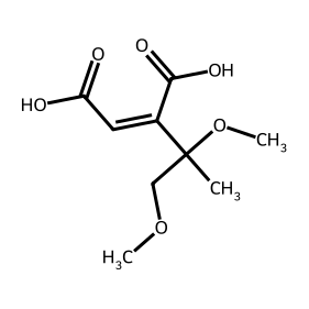 COCC(C)(OC)/C(=C/C(=O)O)C(=O)O